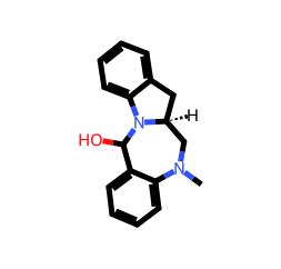 CN1C[C@@H]2Cc3ccccc3N2C(O)c2ccccc21